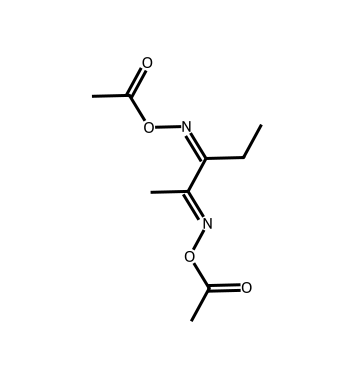 CCC(=NOC(C)=O)C(C)=NOC(C)=O